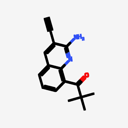 C#Cc1cc2cccc(C(=O)C(C)(C)C)c2nc1N